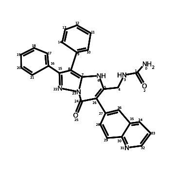 NC(=O)NCc1[nH]c2c(-c3ccccc3)c(-c3ccccc3)nn2c(=O)c1-c1ccc2ncccc2c1